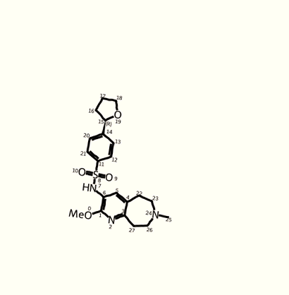 COc1nc2c(cc1NS(=O)(=O)c1ccc([C@H]3CCCO3)cc1)CCN(C)CC2